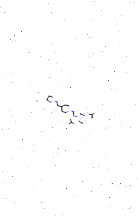 CC(C)C[C@@H]1NCCN([C@@H](CC(C)C)C(=O)N2CCC(CCN3C[C@@H](C)[C@@H](C)C3)CC2)C1=O